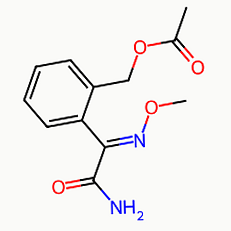 CO/N=C(/C(N)=O)c1ccccc1COC(C)=O